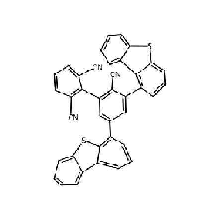 N#Cc1cccc(C#N)c1-c1cc(-c2cccc3c2sc2ccccc23)cc(-c2cccc3sc4ccccc4c23)c1C#N